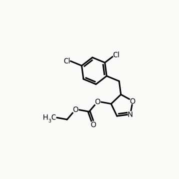 CCOC(=O)OC1C=NOC1Cc1ccc(Cl)cc1Cl